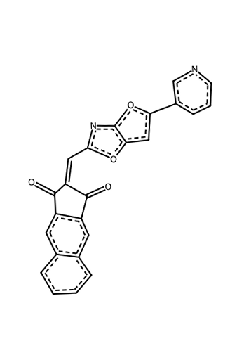 O=C1C(=Cc2nc3oc(-c4cccnc4)cc3o2)C(=O)c2cc3ccccc3cc21